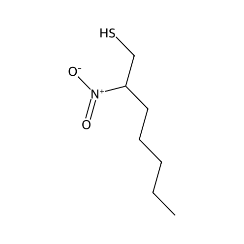 CCCCCC(CS)[N+](=O)[O-]